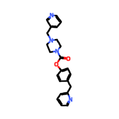 O=C(Oc1ccc(Cc2ccccn2)cc1)N1CCN(Cc2cccnc2)CC1